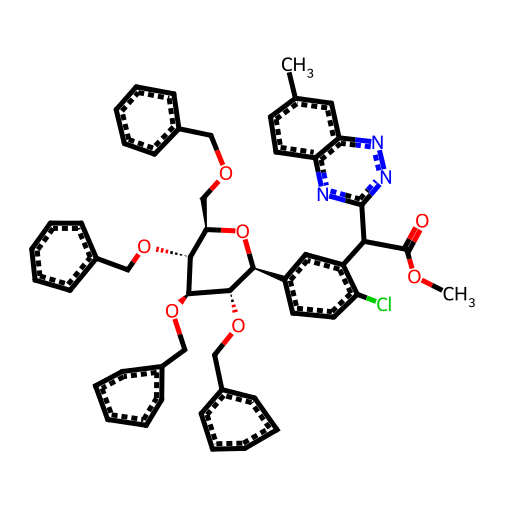 COC(=O)C(c1nnc2cc(C)ccc2n1)c1cc([C@@H]2O[C@H](COCc3ccccc3)[C@@H](OCc3ccccc3)[C@H](OCc3ccccc3)[C@H]2OCc2ccccc2)ccc1Cl